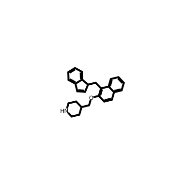 C1=CC(Cc2c(OCC3CCNCC3)ccc3ccccc23)c2ccccc21